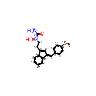 CSc1ccc(C=C2C=C(CCN(O)C(N)=O)c3ccccc32)cc1